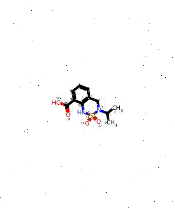 CC(C)N1Cc2cccc(C(=O)O)c2NS1(=O)=O